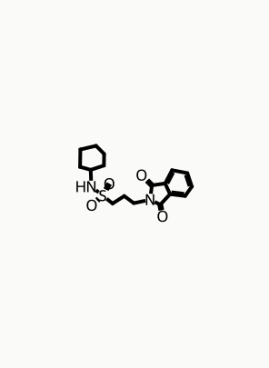 O=C1c2ccccc2C(=O)N1CCCS(=O)(=O)NC1CCCCC1